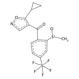 C[S+]([O-])c1cc(S(F)(F)(F)(F)F)ccc1C(=O)c1cnoc1C1CC1